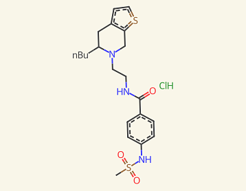 CCCCC1Cc2ccsc2CN1CCNC(=O)c1ccc(NS(C)(=O)=O)cc1.Cl